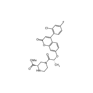 COC(=O)[C@H]1CN(C(=O)[C@@H](C)Oc2ccc3c(-c4ccc(F)cc4Cl)cc(=O)oc3c2)CCN1